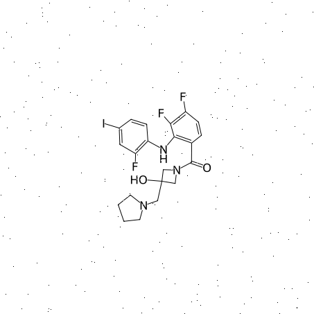 O=C(c1ccc(F)c(F)c1Nc1ccc(I)cc1F)N1CC(O)(CN2CCCC2)C1